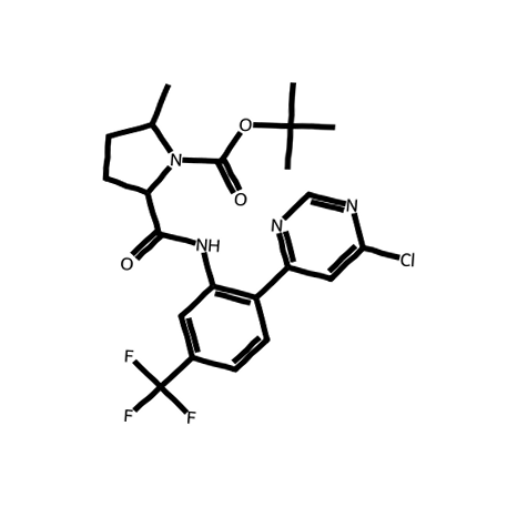 CC1CCC(C(=O)Nc2cc(C(F)(F)F)ccc2-c2cc(Cl)ncn2)N1C(=O)OC(C)(C)C